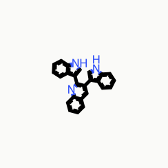 c1ccc2nc(-c3c[nH]c4ccccc34)c(-c3c[nH]c4ccccc34)cc2c1